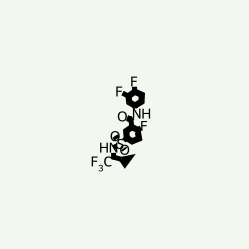 O=C(Nc1ccc(F)c(F)c1)c1cc(S(=O)(=O)N[C@@H](C2CC2)C(F)(F)F)ccc1F